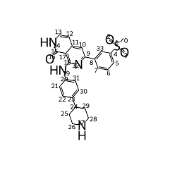 CS(=O)(=O)c1cccc(-c2cc3cc[nH]c(=O)c3c(Nc3ccc(C4CCNCC4)cc3)n2)c1